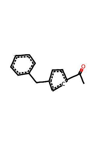 CC(=O)c1ccc(Cc2cc[c]cc2)cc1